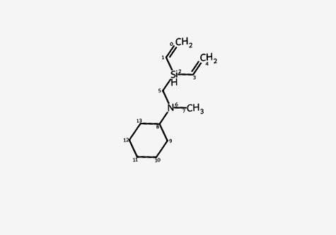 C=C[SiH](C=C)CN(C)C1CCCCC1